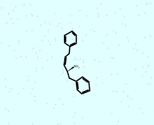 N[C@H](/C=C\Cc1ccccc1)Cc1ccccc1